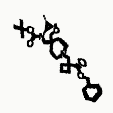 COCC1(CN(C(=O)OC(C)(C)C)[C@@H]2C[C@H]2C)CCN(CC2(C(=O)OCc3ccccc3)CCC2)CC1